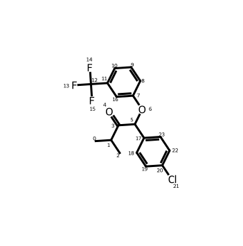 CC(C)C(=O)C(Oc1cccc(C(F)(F)F)c1)c1ccc(Cl)cc1